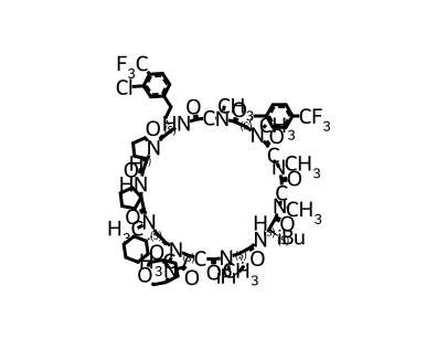 CC[C@H](C)[C@@H]1NC(=O)[C@H](CC(C)C)N(C)C(=O)C[C@@H](C(=O)N2C3CCC2COC3)N(C)C(=O)[C@H](C2CCCCC2)N(C)C(=O)C2(CCCC2)NC(=O)[C@@H]2CCCN2C(=O)[C@H](CCc2ccc(C(F)(F)F)c(Cl)c2)NC(=O)CN(C)C(=O)[C@H](Cc2ccc(C(F)(F)F)cc2)N(C)C(=O)CN(C)C(=O)CN(C)C1=O